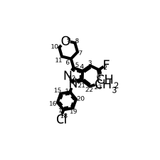 C=C(F)/C=c1/c(C2CCOCC2)nn(-c2ccc(Cl)cc2)/c1=C/C